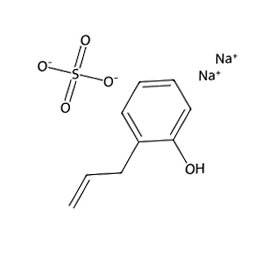 C=CCc1ccccc1O.O=S(=O)([O-])[O-].[Na+].[Na+]